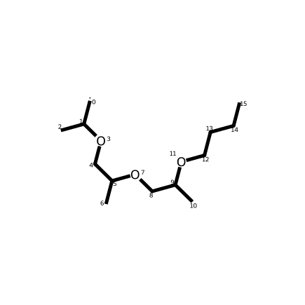 [CH2]C(C)OCC(C)OCC(C)OCCCC